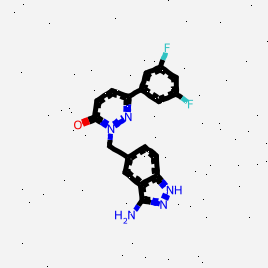 Nc1n[nH]c2ccc(Cn3nc(-c4cc(F)cc(F)c4)ccc3=O)cc12